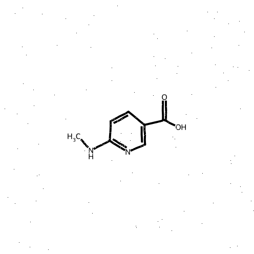 CNc1ccc(C(=O)O)cn1